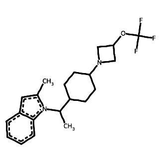 Cc1cc2ccccc2n1C(C)C1CCC(N2CC(OC(F)(F)F)C2)CC1